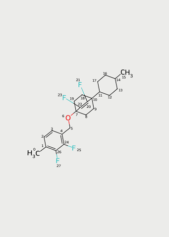 Cc1ccc(COC23CCC(C4CCC(C)CC4)(CC2)C(F)=C3F)c(F)c1F